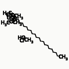 CCCCCCCCCCCCCCCCCCCCC[N+](C)(C)[Si](OC)(OC)OC.CO.[Cl-]